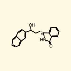 O=C1N[C@H](CCC(O)c2ccc3ccccc3c2)c2ccccc21